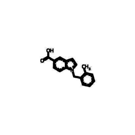 Cc1ccccc1Cn1ccc2cc(C(=O)O)ccc21